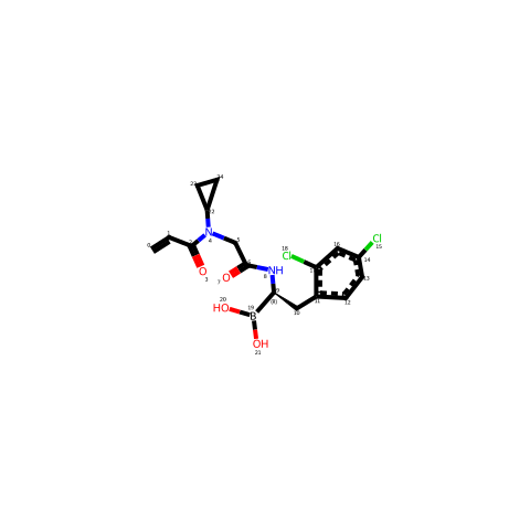 C=CC(=O)N(CC(=O)N[C@@H](Cc1ccc(Cl)cc1Cl)B(O)O)C1CC1